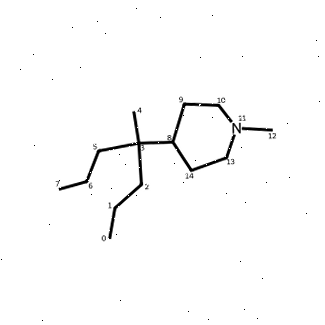 CCCC(C)(CCC)C1CCN(C)CC1